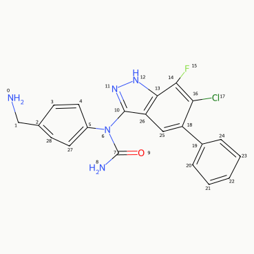 NCc1ccc(N(C(N)=O)c2n[nH]c3c(F)c(Cl)c(-c4ccccc4)cc23)cc1